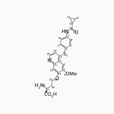 COc1cc2c(Sc3ccc(NC(=O)C4CC4)cc3)ccnc2cc1OCC[C@H](N)C(=O)O